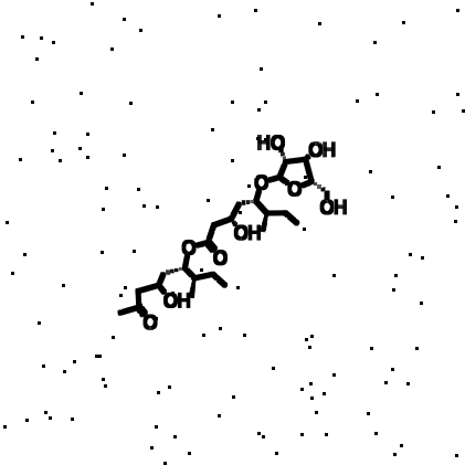 CC[C@@H](C)[C@H](CC(O)CC(C)=O)OC(=O)C[C@@H](O)C[C@H](OC1O[C@@H](CO)[C@H](O)[C@H]1O)[C@H](C)CC